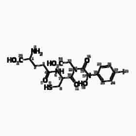 NC(CCC(=O)NC(CS)C(=O)N(CC(=O)O)C(=O)N(O)c1ccc(I)cc1)C(=O)O